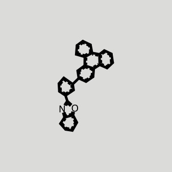 c1cc(-c2ccc3c4ccccc4c4ccccc4c3c2)cc(-c2nc3ccccc3o2)c1